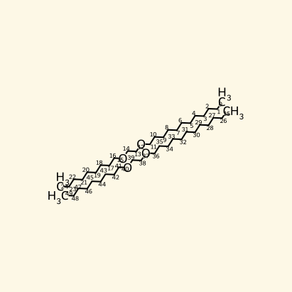 CCCCCCCCCCCCOCCOCCCCCCCCC.CCCCCCCCCCCCOCCOCCCCCCCCC